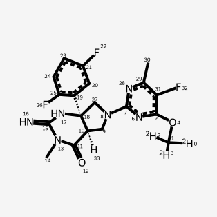 [2H]C([2H])([2H])Oc1nc(N2C[C@H]3C(=O)N(C)C(=N)N[C@@]3(c3cc(F)ccc3F)C2)nc(C)c1F